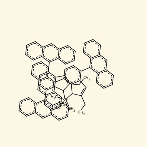 CCC1=Cc2c(-c3c4ccccc4cc4ccccc34)ccc(-c3c4ccccc4cc4ccccc34)c2[CH]1[Zr]([CH3])([CH3])(=[SiH2])[CH]1C(CC)=Cc2c(-c3c4ccccc4cc4ccccc34)ccc(-c3c4ccccc4cc4ccccc34)c21